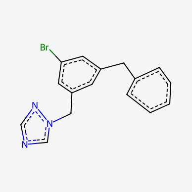 Brc1cc(Cc2ccccc2)cc(Cn2cncn2)c1